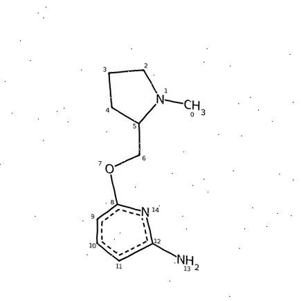 CN1CCCC1COc1cccc(N)n1